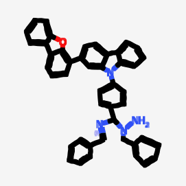 NN(Cc1ccccc1)C(/N=C/c1ccccc1)c1ccc(-n2c3ccccc3c3ccc(-c4cccc5c4oc4ccccc45)cc32)cc1